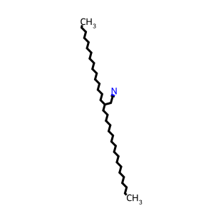 CCCCCCCCCCCCCCCCCCC(CC#N)CCCCCCCCCCCCCCCC